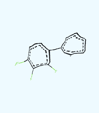 Fc1ccc(-c2[c]cccc2)c(F)c1F